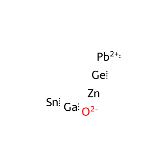 [Ga].[Ge].[O-2].[Pb+2].[Sn].[Zn]